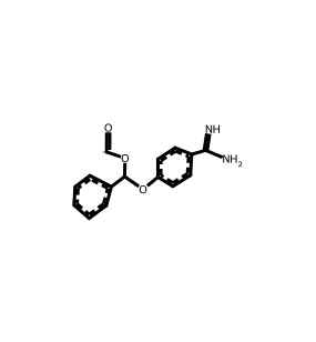 N=C(N)c1ccc(OC(O[C]=O)c2ccccc2)cc1